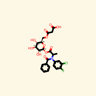 CC(C(=O)O[C@@H]1O[C@H](COC(=O)CC(=O)O)[C@@H](O)[C@H](O)[C@H]1O)N(C(=O)c1ccccc1)c1ccc(F)c(Cl)c1